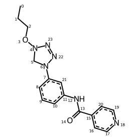 CCCON1CN(c2cccc(NC(=O)c3ccncc3)c2)N=N1